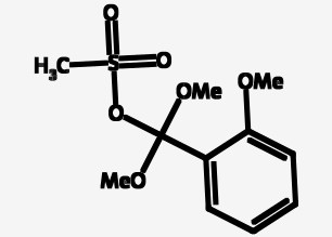 COc1ccccc1C(OC)(OC)OS(C)(=O)=O